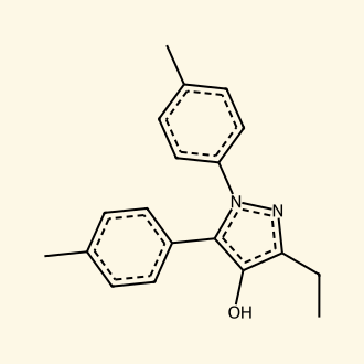 CCc1nn(-c2ccc(C)cc2)c(-c2ccc(C)cc2)c1O